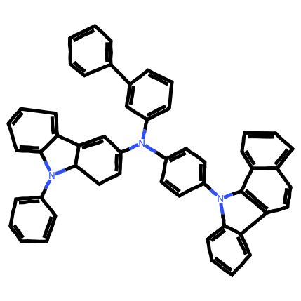 C1=C2c3ccccc3N(c3ccccc3)C2CC=C1N(c1ccc(-n2c3ccccc3c3ccc4ccccc4c32)cc1)c1cccc(-c2ccccc2)c1